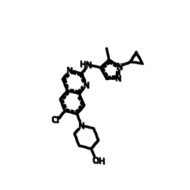 Cc1c(Nc2ncc3cc(Cl)c(N4CCC(O)CC4)cc3n2)cnn1C1CC1